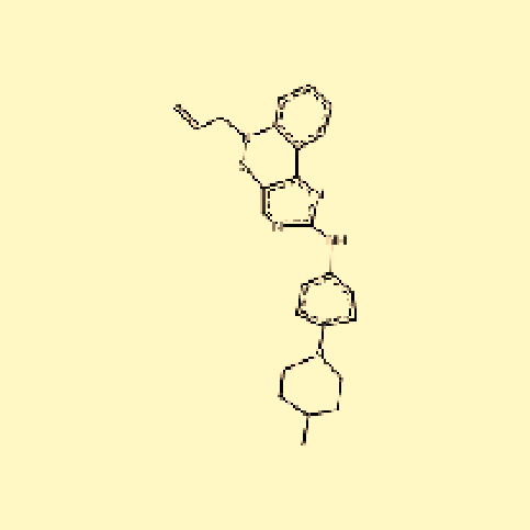 C=CCN1Sc2cnc(Nc3ccc(N4CCC(C)CC4)cc3)nc2-c2ccccc21